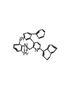 CC(C)c1cccc(C(C)C)c1NCc1nc(-c2cccc3ccccc23)ccc1-c1ccccc1-c1ccccc1